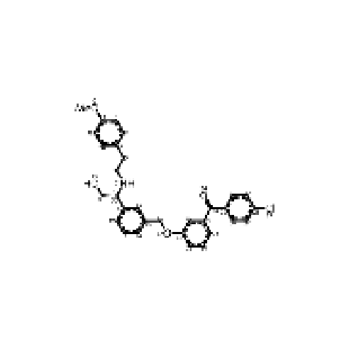 COc1ccc(CCN[C@H](CO)c2cccc(COc3cccc(C(=O)c4ccc(Cl)cc4)c3)c2)cc1